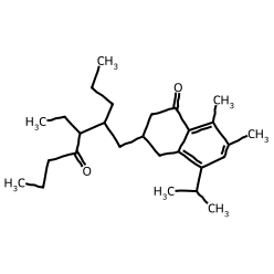 CCCC(=O)C(CC)C(CCC)CC1CC(=O)c2c(C)c(C)cc(C(C)C)c2C1